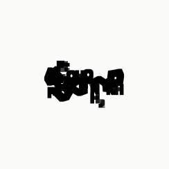 [CH2]CCC(O)(c1cccc(F)c1-c1cccc(CC)c1)C1CCCN(C(=O)[C@@H](N)Cc2c[nH]c3ccccc23)C1